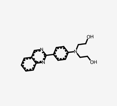 OCCN(CCO)c1ccc(-c2ncc3ccccc3n2)cc1